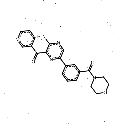 Nc1ncc(-c2cccc(C(=O)N3CCOCC3)c2)nc1C(=O)c1cccnc1